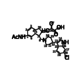 CC(=O)Nc1ccc2c(c1)C(CN1CCC(c3c[nH]c4cc(Cl)ccc34)CC1)CC2.O=C(O)C(=O)O